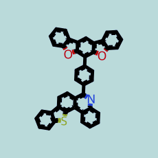 c1ccc2c(c1)nc(-c1ccc(-c3c4oc5ccccc5c4cc4c3oc3ccccc34)cc1)c1ccc3c4ccccc4sc3c12